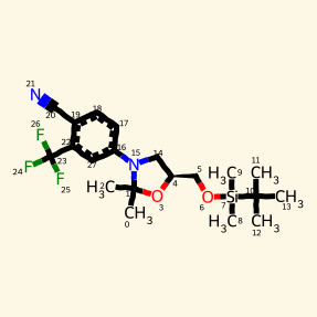 CC1(C)O[C@H](CO[Si](C)(C)C(C)(C)C)CN1c1ccc(C#N)c(C(F)(F)F)c1